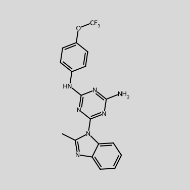 Cc1nc2ccccc2n1-c1nc(N)nc(Nc2ccc(OC(F)(F)F)cc2)n1